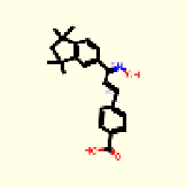 CC1(C)CC(C)(C)c2cc(C(/C=C/c3ccc(C(=O)O)cc3)=N/O)ccc21